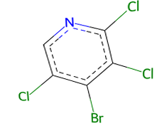 Clc1cnc(Cl)c(Cl)c1Br